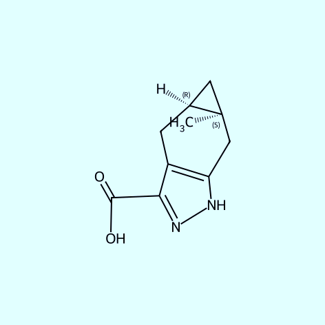 C[C@]12Cc3[nH]nc(C(=O)O)c3C[C@H]1C2